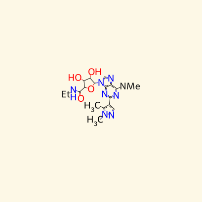 CCNC(=O)C1OC(n2cnc3c(NC)nc(-c4cnn(C)c4C)nc32)C(O)C1O